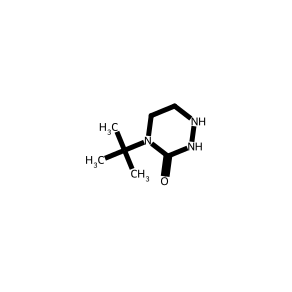 CC(C)(C)N1CCNNC1=O